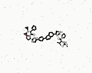 COC(=O)N[C@H](C(=O)N1CCC[C@H]1c1nc(-c2ccc3cc(-c4ccc(-c5cnc([C@@H]6CCCN6C(=O)[C@@H](c6ccccc6)N(C6CC6)C6CC6)[nH]5)cc4)ccc3c2)c[nH]1)C(C)C